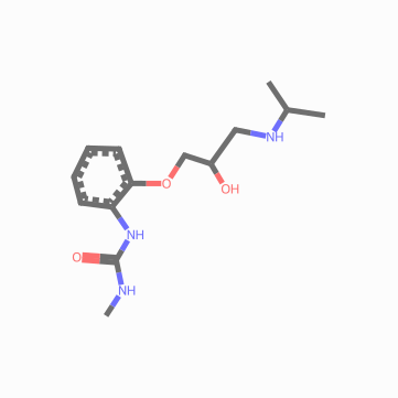 CNC(=O)Nc1ccccc1OCC(O)CNC(C)C